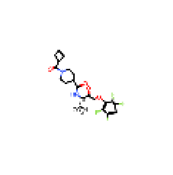 O=C(O)C[C@H](NC(=O)C1CCN(C(=O)C2CCC2)CC1)C(=O)COc1c(F)c(F)cc(F)c1F